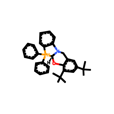 CC(C)(C)c1cc2c(c(C(C)(C)C)c1)O[C@@H]1N(C2)c2ccccc2[PH]1(c1ccccc1)c1ccccc1